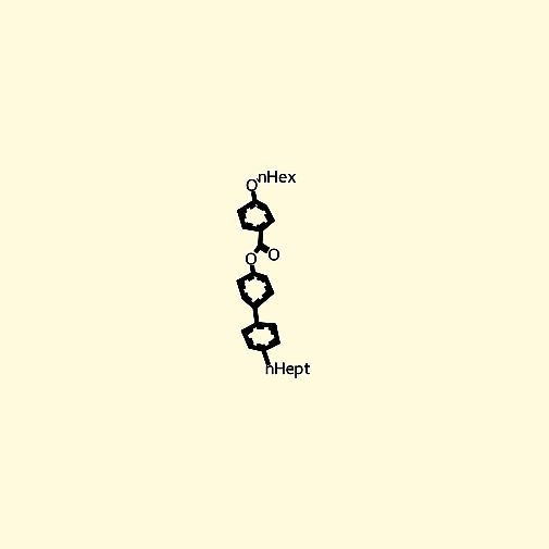 CCCCCCCc1ccc(-c2ccc(OC(=O)c3ccc(OCCCCCC)cc3)cc2)cc1